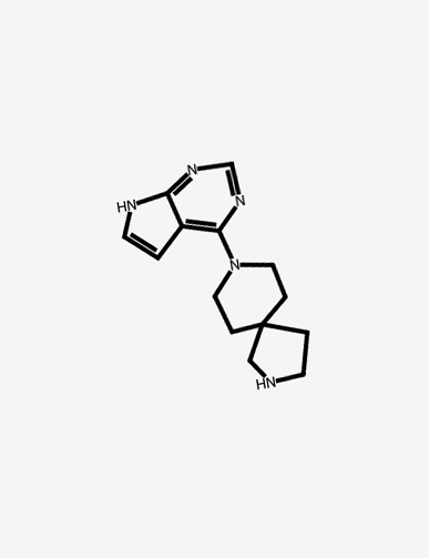 c1nc(N2CCC3(CCNC3)CC2)c2cc[nH]c2n1